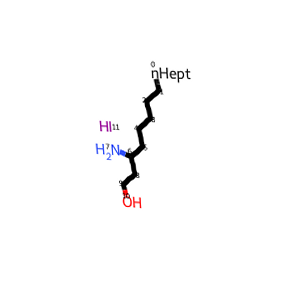 CCCCCCCCCCCCC(N)CCO.I